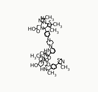 Cc1ncsc1-c1ccc([C@H](C)NC(=O)[C@@H]2C[C@@H](O)CN2C(=O)[C@@H](NC(=O)c2cccc(N3CCN(c4ccc(C5=N[C@@H](CC(=O)O)c6nnc(C)n6-c6sc(C)c(C)c65)cc4)CC3)n2)C(C)(C)C)cc1